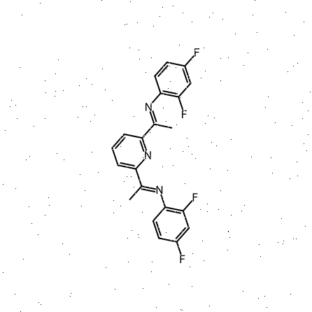 CC(=Nc1ccc(F)cc1F)c1cccc(C(C)=Nc2ccc(F)cc2F)n1